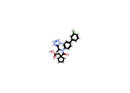 CC(c1nnn[nH]1)N(C(=O)C1(CC(=O)O)CCCC1)c1ccc(-c2cccc(Cl)c2)cc1